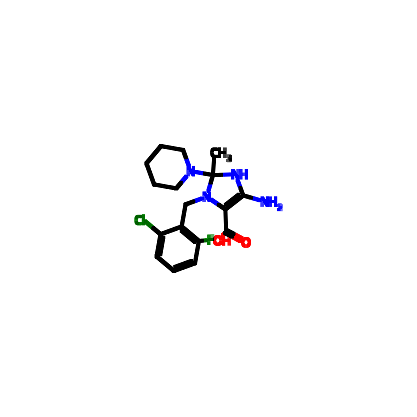 CC1(N2CCCCC2)NC(N)=C(C(=O)O)N1Cc1c(F)cccc1Cl